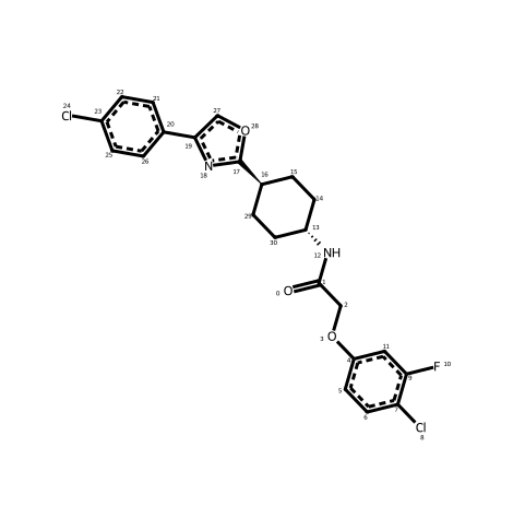 O=C(COc1ccc(Cl)c(F)c1)N[C@H]1CC[C@H](c2nc(-c3ccc(Cl)cc3)co2)CC1